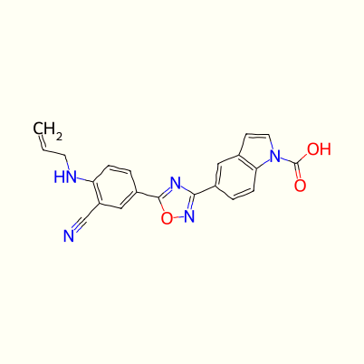 C=CCNc1ccc(-c2nc(-c3ccc4c(ccn4C(=O)O)c3)no2)cc1C#N